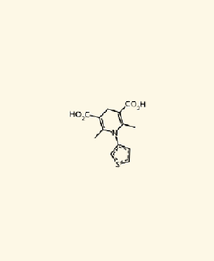 CC1=C(C(=O)O)CC(C(=O)O)=C(C)N1c1ccsc1